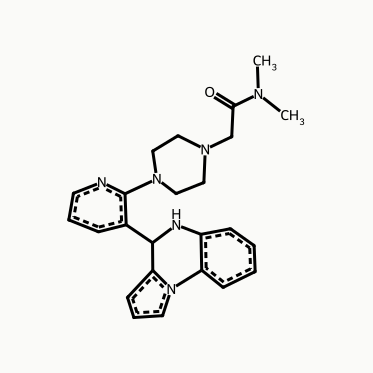 CN(C)C(=O)CN1CCN(c2ncccc2C2Nc3ccccc3-n3cccc32)CC1